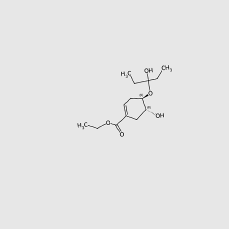 CCOC(=O)C1=CC[C@@H](OC(O)(CC)CC)[C@H](O)C1